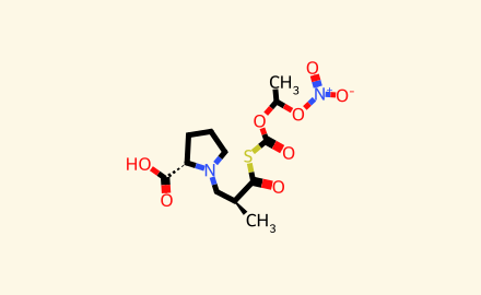 CC(OC(=O)SC(=O)[C@@H](C)CN1CCC[C@H]1C(=O)O)O[N+](=O)[O-]